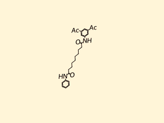 CC(=O)c1cc(NC(=O)CCCCCCCCC(=O)Nc2ccccc2)cc(C(C)=O)c1